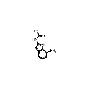 CCC(=O)Nc1cc2cccc(N)c2[nH]1